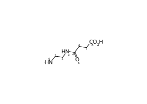 [NH]CCNC(=O)CCC(=O)O